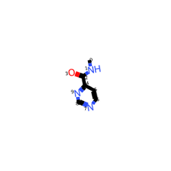 CNC(=O)c1ccn[c]n1